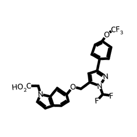 O=C(O)Cn1ccc2ccc(OCc3cc(-c4ccc(OC(F)(F)F)cc4)nn3C(F)F)cc21